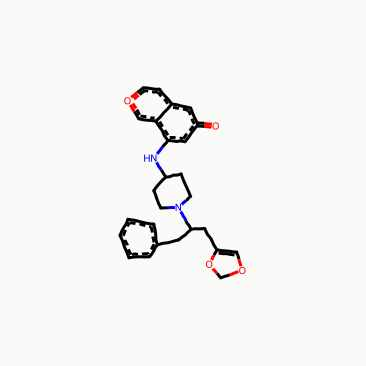 O=c1cc2ccocc-2c(NC2CCN(C(CC3=COCO3)Cc3ccccc3)CC2)c1